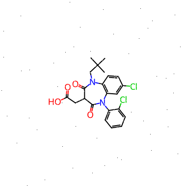 CC(C)(C)CN1C(=O)C(CC(=O)O)C(=O)N(c2ccccc2Cl)c2cc(Cl)ccc21